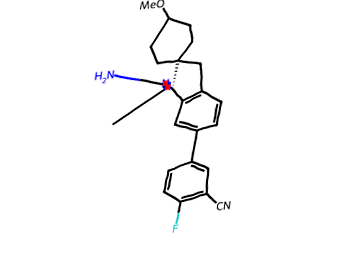 COC1CCC2(CC1)Cc1ccc(-c3ccc(F)c(C#N)c3)cc1[C@@]21N=C(C)C(N)=N1